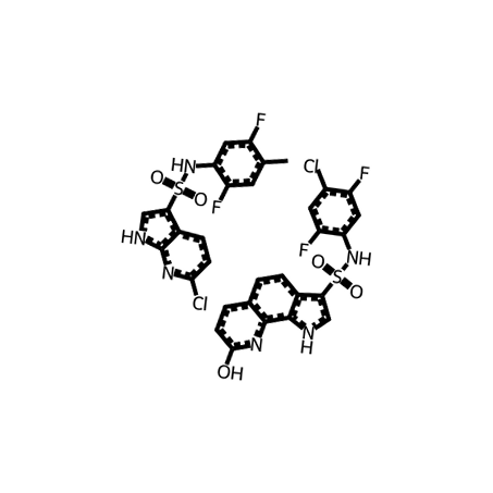 Cc1cc(F)c(NS(=O)(=O)c2c[nH]c3nc(Cl)ccc23)cc1F.O=S(=O)(Nc1cc(F)c(Cl)cc1F)c1c[nH]c2c1ccc1ccc(O)nc12